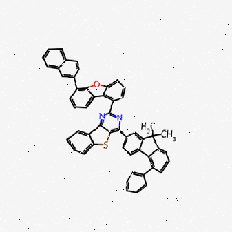 CC1(C)c2cc(-c3nc(-c4cccc5oc6c(-c7ccc8ccccc8c7)cccc6c45)nc4c3sc3ccccc34)ccc2-c2c(-c3ccccc3)cccc21